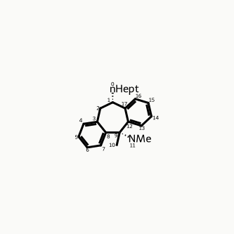 CCCCCCC[C@H]1Cc2ccccc2[C@@](C)(NC)c2ccccc21